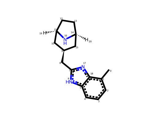 Cc1cccc2[nH]c(C[C@H]3C[C@H]4CC[C@@H](C3)N4)nc12